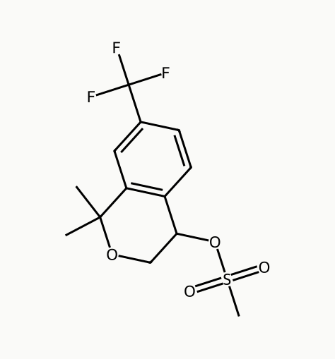 CC1(C)OCC(OS(C)(=O)=O)c2ccc(C(F)(F)F)cc21